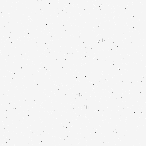 CNC(C#N)CCP(=O)(O)OCOC